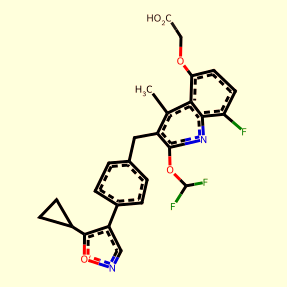 Cc1c(Cc2ccc(-c3cnoc3C3CC3)cc2)c(OC(F)F)nc2c(F)ccc(OCC(=O)O)c12